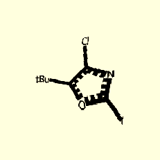 CC(C)(C)c1oc(I)nc1Cl